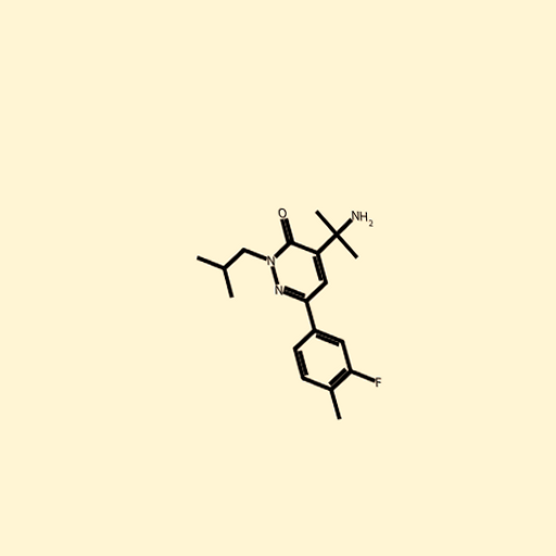 Cc1ccc(-c2cc(C(C)(C)N)c(=O)n(CC(C)C)n2)cc1F